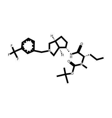 CCC[C@@H](C(=O)N[C@H]1CC[C@@H]2CN(Cc3cccc(C(F)(F)F)c3)C[C@@H]21)N(C)C(=O)OC(C)(C)C